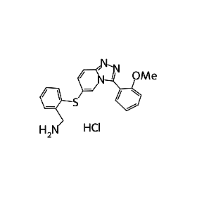 COc1ccccc1-c1nnc2ccc(Sc3ccccc3CN)cn12.Cl